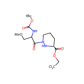 COCC(NC(=O)OC(C)(C)C)C(=O)N1CCC[C@@H](C(=O)OCC(Cl)(Cl)Cl)N1